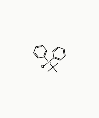 C[C](C)(C)[Sn]([Cl])([c]1ccccc1)[c]1ccccc1